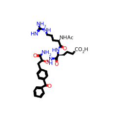 CC(=O)N[C@@H](CCCNC(=N)N)C(=O)N[C@@H](CCCC(=O)O)C(=O)NOC(Cc1ccc(C(=O)c2ccccc2)cc1)C(N)=O